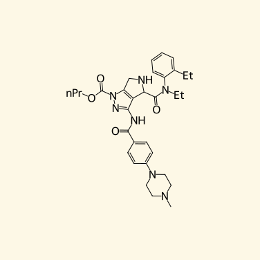 CCCOC(=O)n1nc(NC(=O)c2ccc(N3CCN(C)CC3)cc2)c2c1CNC2C(=O)N(CC)c1ccccc1CC